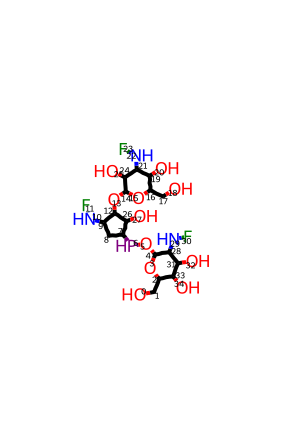 OCC1OC(OPC2CC(NF)C(OC3OC(CO)C(O)C(NF)C3O)C2O)C(NF)C(O)C1O